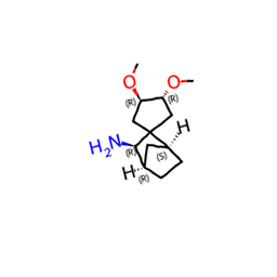 CO[C@@H]1CC2(C[C@H]1OC)[C@H]1CC[C@H](C1)[C@H]2N